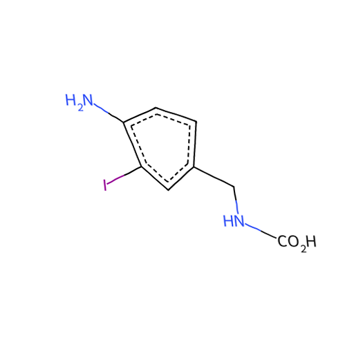 Nc1ccc(CNC(=O)O)cc1I